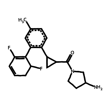 Cc1ccc(C2CC2C(=O)N2CCC(N)C2)c(C2=C(F)C=CCC2F)c1